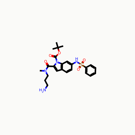 CN(CCCN)C(=O)c1cc2ccc(NS(=O)(=O)c3ccccc3)cc2n1C(=O)OC(C)(C)C